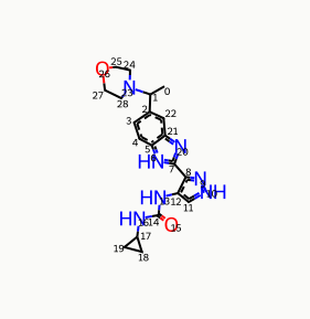 CC(c1ccc2[nH]c(-c3n[nH]cc3NC(=O)NC3CC3)nc2c1)N1CCOCC1